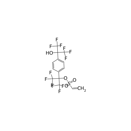 C=CS(=O)(=O)OC(c1ccc(C(O)(C(F)(F)F)C(F)(F)F)cc1)(C(F)(F)F)C(F)(F)F